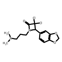 CN(C)CCCN1C(=O)C(Cl)(Cl)C1c1ccc2c(c1)OCO2